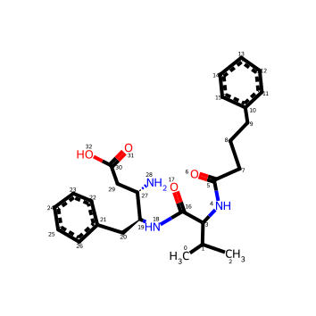 CC(C)C(NC(=O)CCCc1ccccc1)C(=O)N[C@@H](Cc1ccccc1)[C@@H](N)CC(=O)O